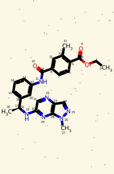 CCOC(=O)c1ccc(C(=O)Nc2cccc([C@H](C)Nc3cnc4cnn(C)c4n3)c2)cc1C